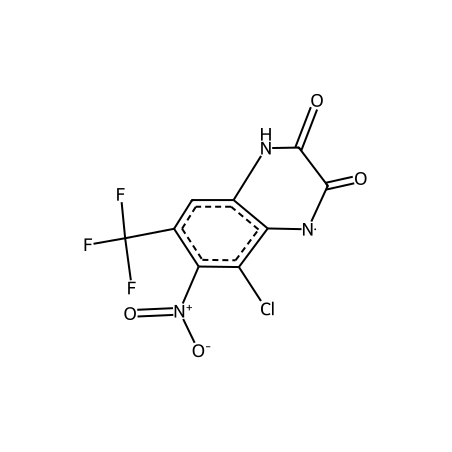 O=C1[N]c2c(cc(C(F)(F)F)c([N+](=O)[O-])c2Cl)NC1=O